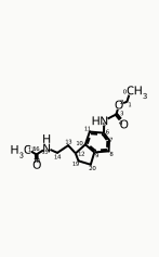 CCOC(=O)Nc1ccc2c(c1)C(CCNC(C)=O)CC2